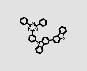 c1ccc(-c2nc(-c3ccccc3)nc(-c3cccc(-n4c5ccccc5c5cc(-c6ccc7sc8ccccc8c7c6)ccc54)c3)n2)cc1